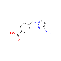 Nc1ccn(CC2CCC(C(=O)O)CC2)n1